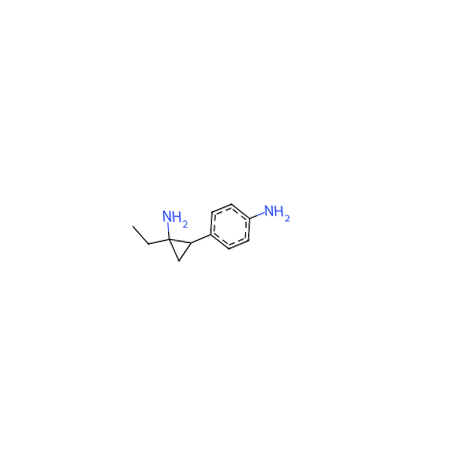 CCC1(N)CC1c1ccc(N)cc1